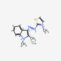 Cc1c(/N=N/c2scc[n+]2C)c2ccccc2n1C.[Cl-]